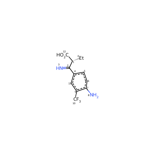 CC[C@H](C(=N)c1ccc(N)c(C(F)(F)F)c1)C(=O)O